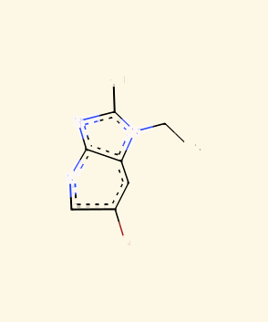 Cc1nc2ncc(Br)cc2n1CC#N